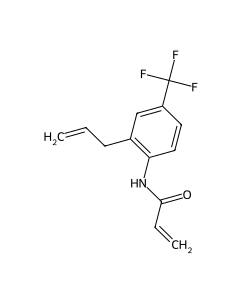 C=CCc1cc(C(F)(F)F)ccc1NC(=O)C=C